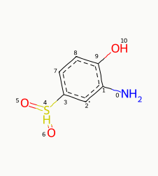 Nc1[c]c([SH](=O)=O)ccc1O